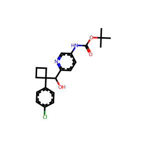 CC(C)(C)OC(=O)Nc1ccc(C(O)C2(c3ccc(Cl)cc3)CCC2)nc1